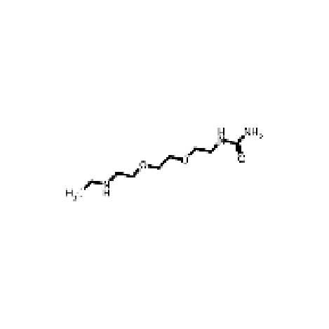 CCNCCOCCOCCNC(N)=O